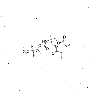 C=CC(=O)OCC(C)(COC(=O)C=C)NC(=O)OC(F)C(F)(F)C(F)(F)F